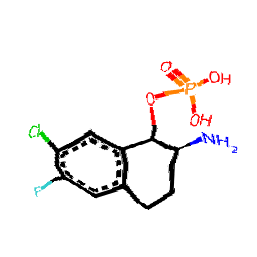 N[C@H]1CCc2cc(F)c(Cl)cc2C1OP(=O)(O)O